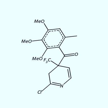 COc1cc(C)c(C(=O)C2(C(F)(F)F)C=CN=C(Cl)C2)c(OC)c1OC